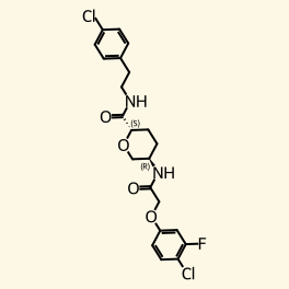 O=C(COc1ccc(Cl)c(F)c1)N[C@@H]1CC[C@@H](C(=O)NCCc2ccc(Cl)cc2)OC1